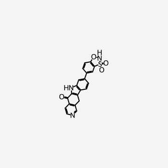 O=C1c2ccncc2Cc2c1[nH]c1cc(-c3ccc4c(c3)S(=O)(=O)NO4)ccc21